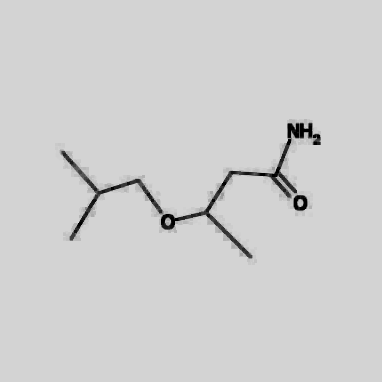 CC(C)COC(C)CC(N)=O